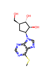 CSc1ncnc2c1ncn2[C@H]1C[C@@H](CO)[C@H](O)[C@H]1O